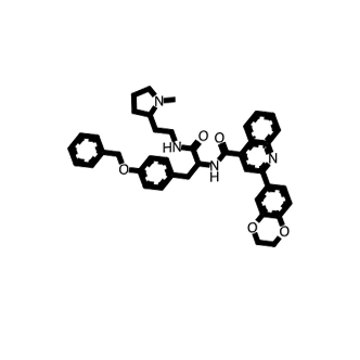 CN1CCCC1CCNC(=O)C(Cc1ccc(OCc2ccccc2)cc1)NC(=O)c1cc(-c2ccc3c(c2)OCCO3)nc2ccccc12